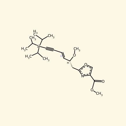 COC(=O)c1coc(C[C@H](/C=C/C#C[Si](C(C)C)(C(C)C)C(C)C)OC)n1